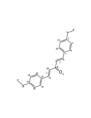 CCc1ccc(/C=C/C(=O)/C=C/c2ccc(CC)cc2)cc1